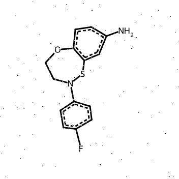 Nc1ccc2c(c1)SN(c1ccc(F)cc1)CCO2